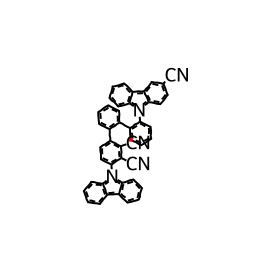 N#Cc1ccc2c(c1)c1ccccc1n2-c1ccccc1-c1ccccc1-c1ccc(-n2c3ccccc3c3ccccc32)c(C#N)c1C#N